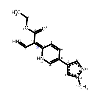 CCOC(=O)/C(C=N)=C1\C=CC(c2cnn(C)c2)=CN1